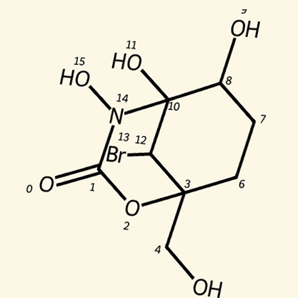 O=C1OC2(CO)CCC(O)C(O)(C2Br)N1O